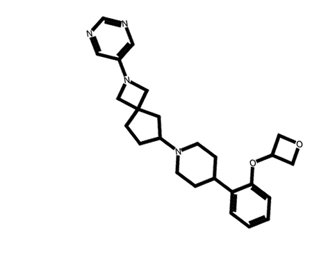 c1ccc(C2CCN(C3CCC4(C3)CN(c3cncnc3)C4)CC2)c(OC2COC2)c1